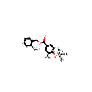 CC(C)(C)c1cc(C(=O)OCc2ccccc2C(=O)O)ccc1O[Si](C)(C)C(C)(C)C